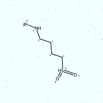 CC(C)NCCCC[SH](=O)=O